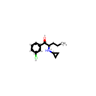 CCCC(NC1CC1)C(=O)c1cccc(Cl)c1